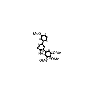 COc1cccc(-c2cnc(N)c(-c3cc(OC)c(OC)c(OC)c3)c2)c1